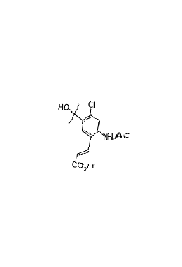 CCOC(=O)/C=C/c1cc(C(C)(C)O)c(Cl)cc1NC(C)=O